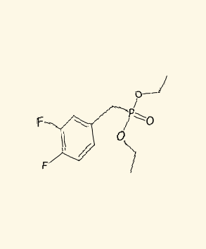 CCOP(=O)(Cc1ccc(F)c(F)c1)OCC